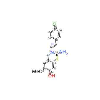 COc1cc(CN(/C=C/c2ccc(Cl)cc2)C(N)=S)ccc1O